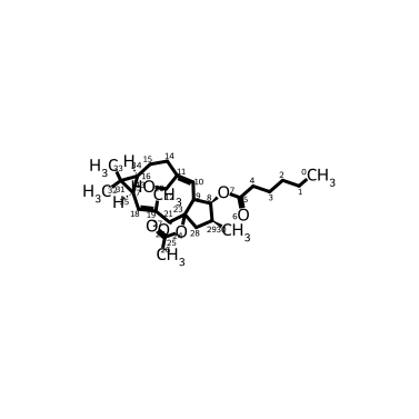 CCCCCC(=O)O[C@@H]1C2/C=C(\CO)CC[C@H]3[C@@H](/C=C(\C)C(=O)C2(OC(C)=O)C[C@@H]1C)C3(C)C